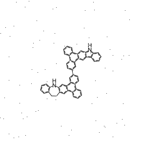 c1ccc2c(c1)CCc1cc3c4ccccc4c4ccc(-c5ccc6c7ccccc7c7cc8[nH]c9ccccc9c8cc7c6c5)cc4c3cc1N2